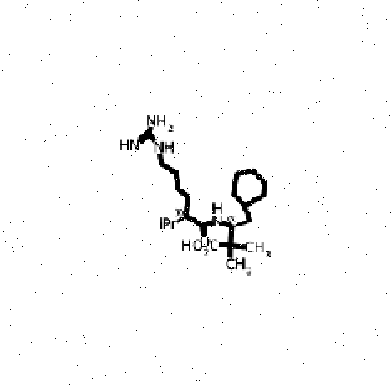 CC(C)[C@@H](CCCCNC(=N)N)C(=O)N[C@@H](CC1CCCCC1)C(C)(C)C(=O)O